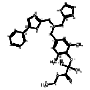 CCOC(=O)C(C)(C)Oc1c(C)cc(CN(Cc2ncc(-c3ccccc3)o2)Cc2nccs2)cc1C